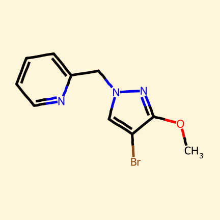 COc1nn(Cc2ccccn2)cc1Br